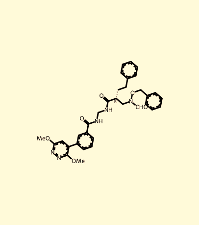 COc1cc(-c2cccc(C(=O)NCNC(=O)[C@H](CCc3ccccc3)CN(C=O)OCc3ccccc3)c2)c(OC)nn1